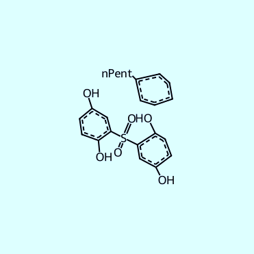 CCCCCc1ccccc1.O=S(=O)(c1cc(O)ccc1O)c1cc(O)ccc1O